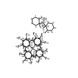 CC[NH+](C1(C)CCCCC1C)C1(C)CCCCC1C.Fc1c(F)c(F)c([B-](c2c(F)c(F)c(F)c(F)c2F)(c2c(F)c(F)c(F)c(F)c2F)c2c(F)c(F)c(F)c(F)c2F)c(F)c1F